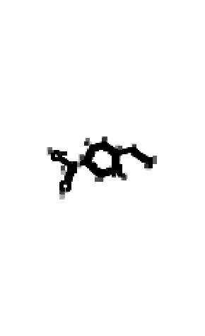 O=[N+]([O-])c1ccc(C=S)nc1